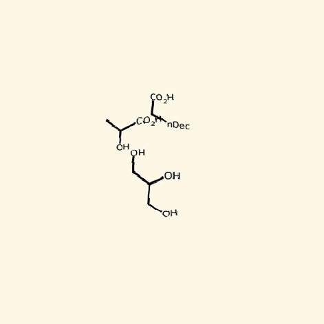 CC(O)C(=O)O.CCCCCCCCCCCC(=O)O.OCC(O)CO